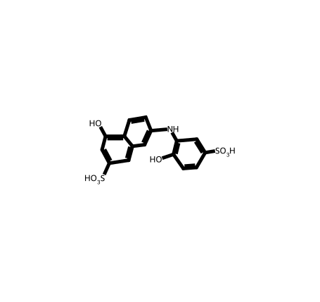 O=S(=O)(O)c1ccc(O)c(Nc2ccc3c(O)cc(S(=O)(=O)O)cc3c2)c1